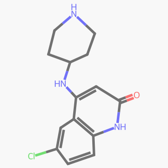 O=c1cc(NC2CCNCC2)c2cc(Cl)ccc2[nH]1